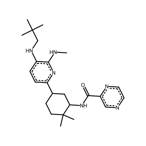 CNc1nc(C2CCC(C)(C)C(NC(=O)c3cnccn3)C2)ccc1NCC(C)(C)C